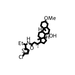 CCC(NC(=O)C[C@@H](C)C1CC[C@H]2C3[C@H](O)CC4C[C@H](OC)CCC4(C)[C@H]3CCC12C)c1ccc(Cl)s1